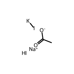 CC(=O)[O-].I.[K][I].[Na+]